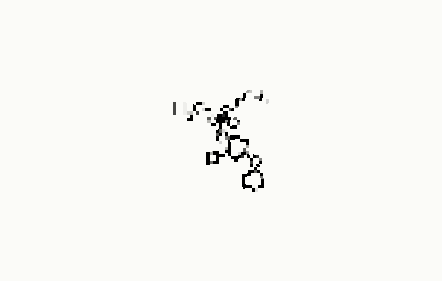 CCCSP(=O)(OCC)Oc1ccc(Oc2ccccc2)cc1Cl